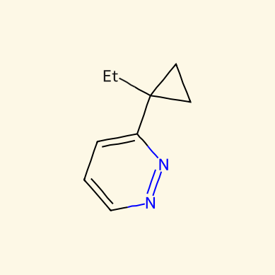 CCC1(c2cccnn2)CC1